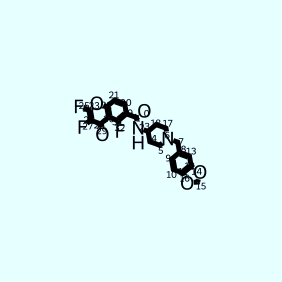 O=C(NC1CCN(Cc2ccc3c(c2)OCO3)CC1)c1ccc2oc(F)c(F)c(=O)c2c1F